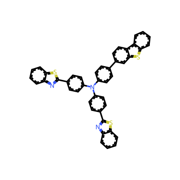 c1ccc2sc(-c3ccc(N(c4ccc(-c5ccc6c(c5)sc5ccccc56)cc4)c4ccc(-c5nc6ccccc6s5)cc4)cc3)nc2c1